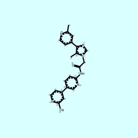 Cc1cc(-c2ncn(CC(=O)Nc3ccc(-c4ccnc(C#N)c4)cn3)c2C)ccn1